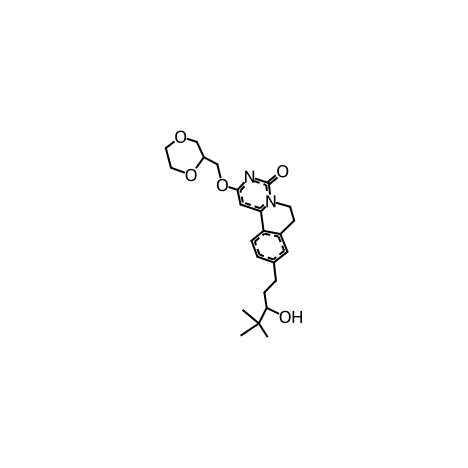 CC(C)(C)C(O)CCc1ccc2c(c1)CCn1c-2cc(OCC2COCCO2)nc1=O